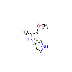 COCC(C)N[C@H]1CCNC1